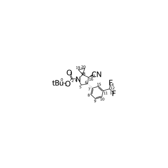 CC(C)(C)OC(=O)N1C[C@@H](c2cccc(C(F)F)c2)[C@H](C#N)C12CC2